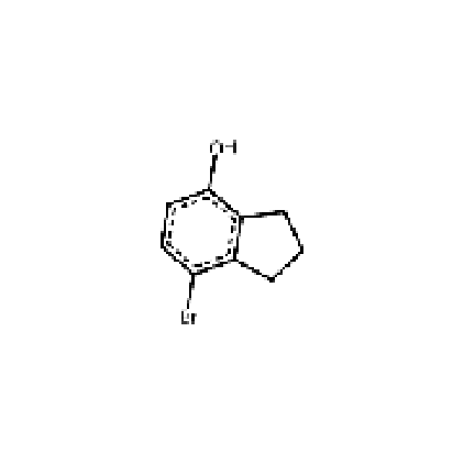 Oc1ccc(Br)c2c1CCC2